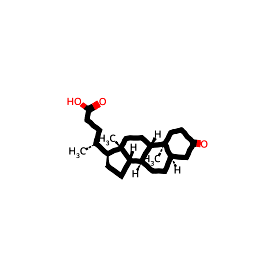 C[C@H](CCC(=O)O)[C@@H]1CC[C@H]2[C@@H]3CC[C@@H]4CC(=O)CC[C@]4(C)[C@H]3CC[C@@]21C